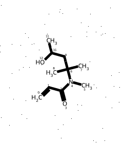 C=CC(=O)N(C)C(C)(C)CC(C)O